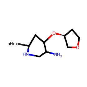 CCCCCCC1CC(O[C@H]2CCOC2)C(N)CN1